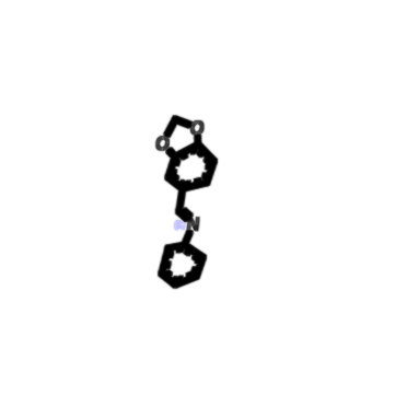 C(=N\c1ccccc1)/c1ccc2c(c1)OCO2